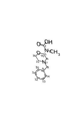 CN(C(=O)O)[C@@H]1CN(Cc2ccccc2)CCO1